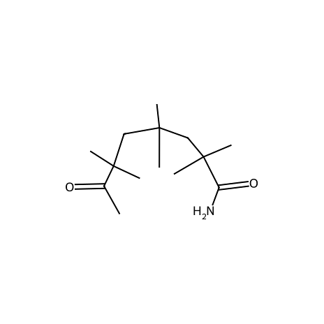 CC(=O)C(C)(C)CC(C)(C)CC(C)(C)C(N)=O